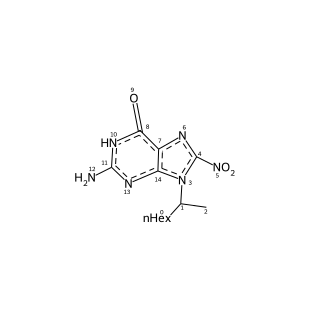 CCCCCCC(C)n1c([N+](=O)[O-])nc2c(=O)[nH]c(N)nc21